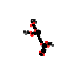 CCOC(=O)CCCOc1cccc(CCCCCCOc2cc(-c3ccc4c(c3)OCCO4)cc(S(C)(=O)=O)c2)c1CCC(=O)OCC